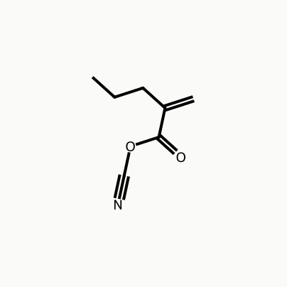 C=C(CCC)C(=O)OC#N